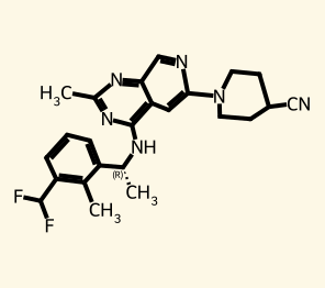 Cc1nc(N[C@H](C)c2cccc(C(F)F)c2C)c2cc(N3CCC(C#N)CC3)ncc2n1